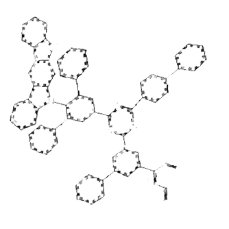 C=C/C=C(\C=C)c1cc(-c2ccccc2)cc(-c2nc(-c3ccc(-c4ccccc4)cc3)nc(-c3cc(-c4ccccc4)c(-n4c5ccccc5c5cc6c(cc54)oc4ccccc46)c(-c4ccccc4)c3)n2)c1